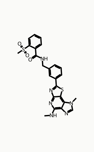 CNc1nc2nc(-c3cccc(CNC(=O)c4ccccc4S(C)(=O)=O)c3)sc2c2c1ncn2C